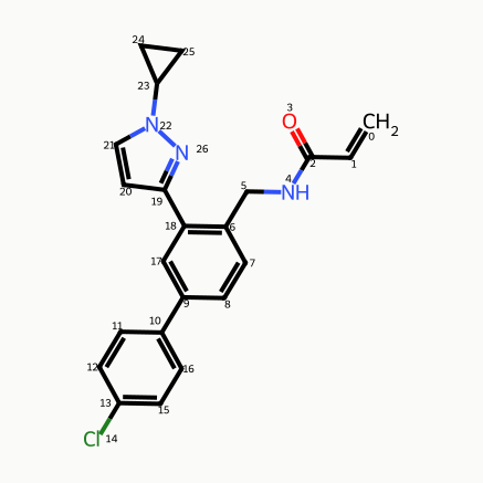 C=CC(=O)NCc1ccc(-c2ccc(Cl)cc2)cc1-c1ccn(C2CC2)n1